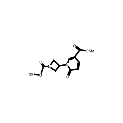 COC(=O)c1ccc(=O)n(C2CN(C(=O)OC(C)(C)C)C2)c1